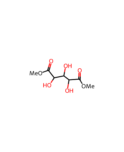 COC(=O)C(O)C(O)C(O)C(=O)OC